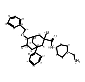 CCC1(C(=S)N[C@H]2CC[C@H](CN)CC2)CC2CC(c3ccccc3)(CC(C)C2OCc2ccccc2)C1